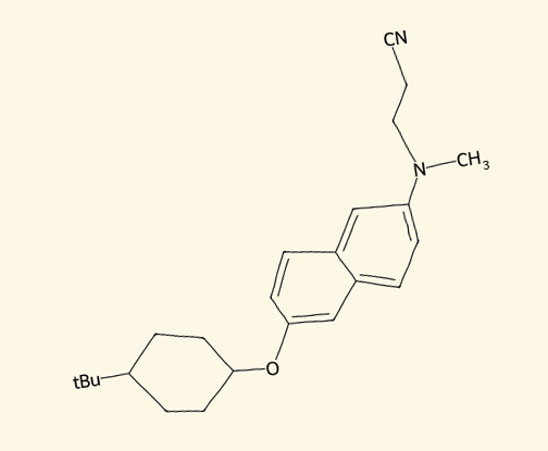 CN(CCC#N)c1ccc2cc(OC3CCC(C(C)(C)C)CC3)ccc2c1